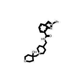 CC(C)n1cc2cccc(C(=O)NCC3CCN(CC4(O)CCOCC4)CC3)c2n1